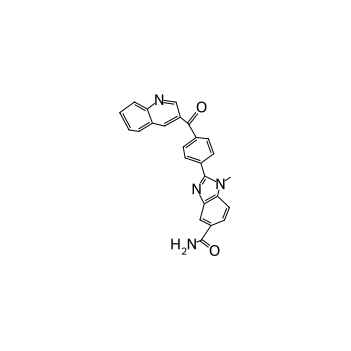 Cn1c(-c2ccc(C(=O)c3cnc4ccccc4c3)cc2)nc2cc(C(N)=O)ccc21